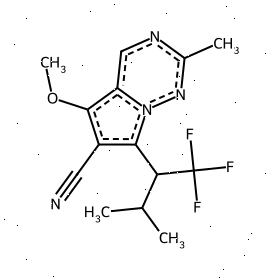 COc1c(C#N)c(C(C(C)C)C(F)(F)F)n2nc(C)ncc12